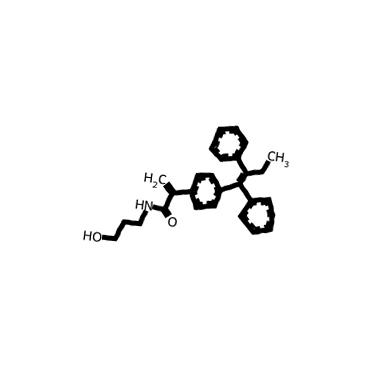 C=C(C(=O)NCCCO)c1ccc(C(=C(CC)c2ccccc2)c2ccccc2)cc1